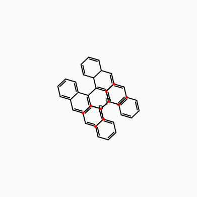 C1=CC2C=CC(P(c3ccccc3)c3ccccc3)=C(c3c(P(c4ccccc4)c4ccccc4)ccc4ccccc34)C2C=C1